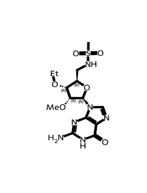 CCO[C@H]1[C@@H](OC)[C@H](n2cnc3c(=O)[nH]c(N)nc32)O[C@@H]1CNS(C)(=O)=O